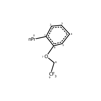 CCCc1ccccc1OCC(F)(F)F